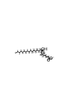 CCCCCCCCCCCCCCCCC(C)(O)C[N+](C)(C)CCCCC(=O)[O-]